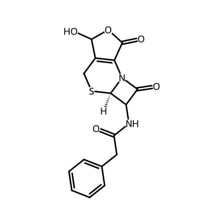 O=C(Cc1ccccc1)NC1C(=O)N2C3=C(CS[C@H]12)C(O)OC3=O